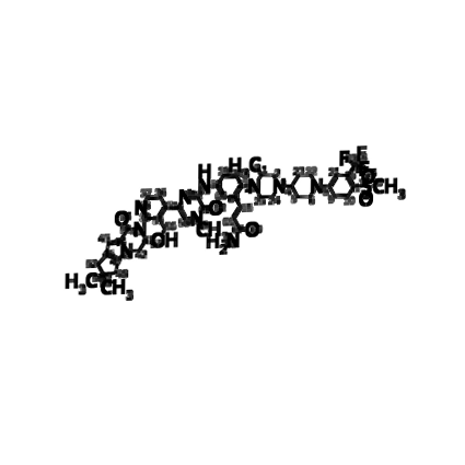 C[C@H]1CN(C2CCN(c3ccc(S(C)(=O)=O)c(C(F)(F)F)c3)CC2)CCN1c1ccc(Nc2nc(-c3ccnc(N4CCn5c(cc6c5CC(C)(C)C6)C4=O)c3CO)cn(C)c2=O)cc1C=CC(N)=O